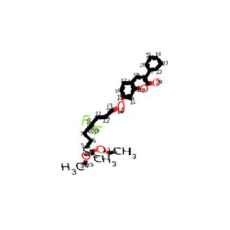 CCO[Si](C)(CCCC(F)(F)CCCOc1ccc2cc(-c3ccccc3)c(=O)oc2c1)OCC